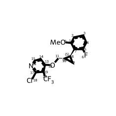 COc1cccc(F)c1[C@H]1C[C@@H]1COc1ccnc(Cl)c1C(F)(F)F